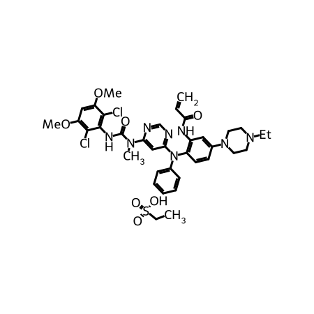 C=CC(=O)Nc1cc(N2CCN(CC)CC2)ccc1N(c1ccccc1)c1cc(N(C)C(=O)Nc2c(Cl)c(OC)cc(OC)c2Cl)ncn1.CCS(=O)(=O)O